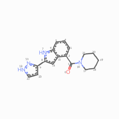 O=C(c1cccc2[nH]c(-c3cc[nH]n3)cc12)N1CCCCC1